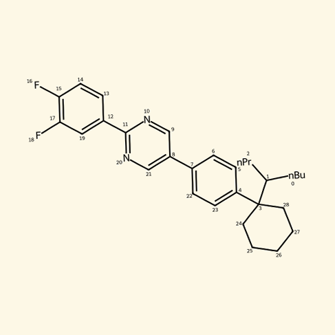 CCCCC(CCC)C1(c2ccc(-c3cnc(-c4ccc(F)c(F)c4)nc3)cc2)CCCCC1